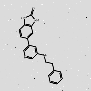 O=c1[nH]c2ccc(-c3cncc(NCCc4ccccc4)c3)cc2[nH]1